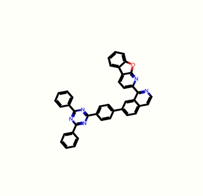 c1ccc(-c2nc(-c3ccccc3)nc(-c3ccc(-c4ccc5ccnc(-c6ccc7c(n6)oc6ccccc67)c5c4)cc3)n2)cc1